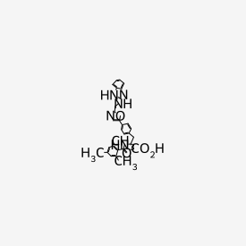 Cc1cc(C)c(C(=O)NC(Cc2ccc(-c3cnc(CNc4nc5ccccc5[nH]4)o3)cc2)C(=O)O)c(C)c1